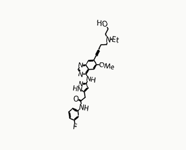 CCN(CCO)CCC#Cc1cc2ncnc(Nc3cc(CC(=O)Nc4cccc(F)c4)[nH]n3)c2cc1OC